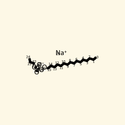 CCCCCCCCCCCCCCCCOOP(=O)([O-])OCCC.[Na+]